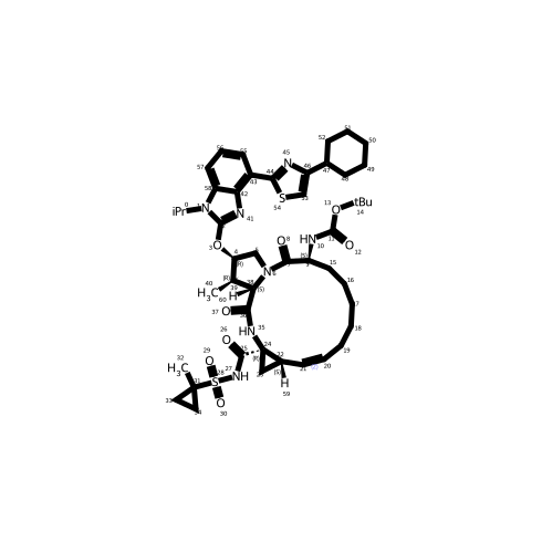 CC(C)n1c(O[C@H]2CN3C(=O)[C@@H](NC(=O)OC(C)(C)C)CCCCC/C=C\[C@@H]4C[C@@]4(C(=O)NS(=O)(=O)C4(C)CC4)NC(=O)[C@@H]3[C@H]2C)nc2c(-c3nc(C4CCCCC4)cs3)cccc21